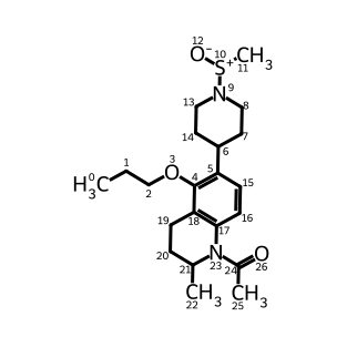 CCCOc1c(C2CCN([S+](C)[O-])CC2)ccc2c1CCC(C)N2C(C)=O